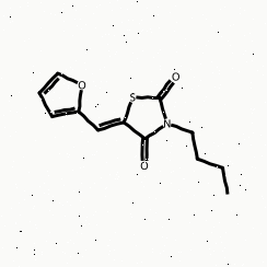 CCCCN1C(=O)S/C(=C\c2ccco2)C1=O